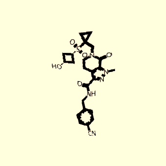 Cn1nc(C(=O)NCc2ccc(C#N)cc2)c2c1C(=O)N(CC1(S(=O)(=O)[C@H]3C[C@@H](O)C3)CC1)CC2